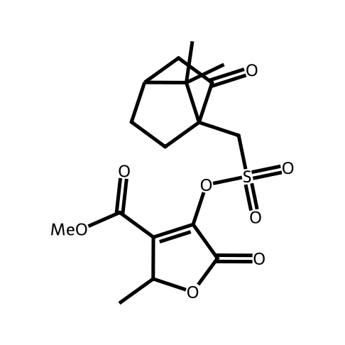 COC(=O)C1=C(OS(=O)(=O)CC23CCC(CC2=O)C3(C)C)C(=O)OC1C